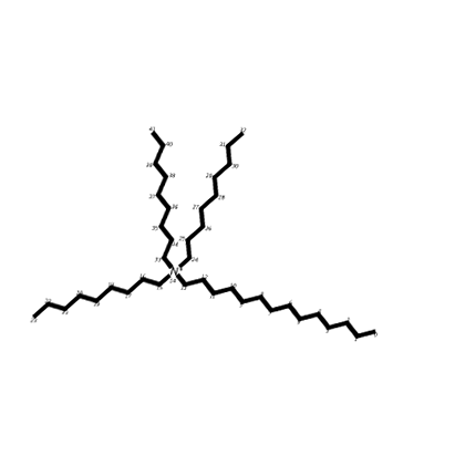 CCCCCCCCCCCCCC[N+](CCCCCCCCC)(CCCCCCCCC)CCCCCCCCC